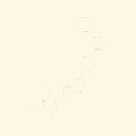 COc1cc(OC)c(-c2cn3ccc(N4CCN(c5ncnc(N6CCOCC6)n5)CC4)cc3n2)cc1Cl